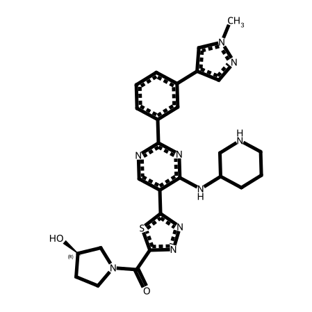 Cn1cc(-c2cccc(-c3ncc(-c4nnc(C(=O)N5CC[C@@H](O)C5)s4)c(NC4CCCNC4)n3)c2)cn1